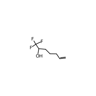 C=CCCCC(O)C(F)(F)F